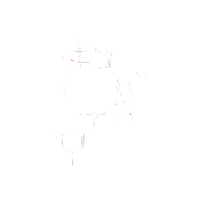 Cc1cc(C)cc(CN2CCCCC[C@](O)(C(F)(F)F)c3nnc(o3)-c3nc(c(C(F)(F)F)cc3N)C2=O)c1